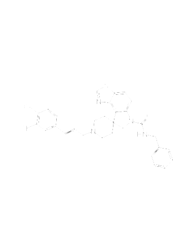 O=C(NCc1ccccc1)N1CC2(CCN(CC=Cc3ccc(Cl)c(Cl)c3)CC2)c2c1ccc1scnc21